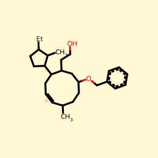 CCC1CCC(C2C/C=C\C(C)CCC(OCc3ccccc3)CC2CCO)C1C